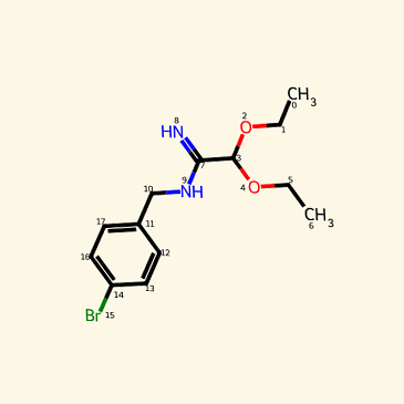 CCOC(OCC)C(=N)NCc1ccc(Br)cc1